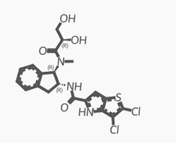 CN(C(=O)[C@H](O)CO)[C@@H]1c2ccccc2C[C@H]1NC(=O)c1cc2sc(Cl)c(Cl)c2[nH]1